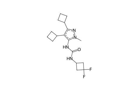 Cn1nc(C2CCC2)c(C2CCC2)c1NC(=O)NC1CC(F)(F)C1